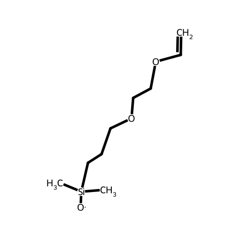 C=COCCOCCC[Si](C)(C)[O]